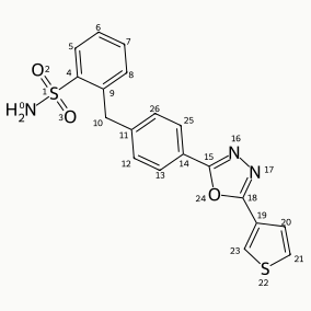 NS(=O)(=O)c1ccccc1Cc1ccc(-c2nnc(-c3ccsc3)o2)cc1